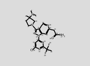 CN(C)C1(C)CCN(c2nn(-c3cc(Cl)nc(C(C)(F)F)n3)c3cc(CC(N)=O)ncc23)C1